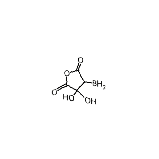 BC1C(=O)OC(=O)C1(O)O